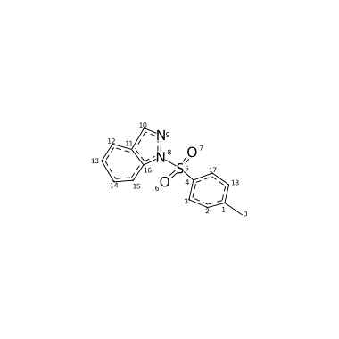 Cc1ccc(S(=O)(=O)n2ncc3ccccc32)cc1